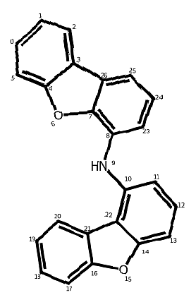 c1ccc2c(c1)oc1c(Nc3cccc4oc5ccccc5c34)cccc12